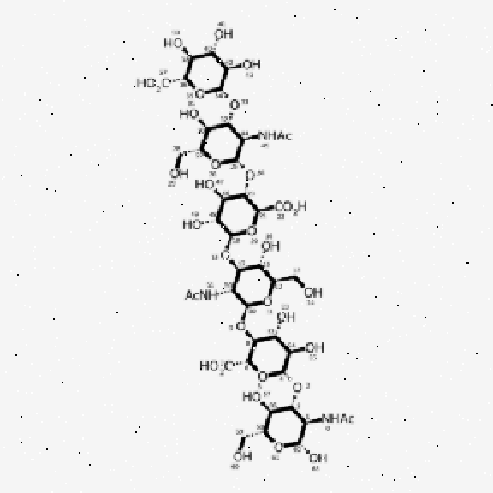 CC(=O)N[C@@H]1[C@@H](O[C@@H]2O[C@H](C(=O)O)[C@@H](O[C@@H]3O[C@H](CO)[C@@H](O)[C@H](O[C@@H]4O[C@H](C(=O)O)[C@@H](O[C@@H]5O[C@H](CO)[C@@H](O)[C@H](O[C@@H]6O[C@H](C(=O)O)[C@@H](O)[C@H](O)[C@H]6O)[C@H]5NC(C)=O)[C@H](O)[C@H]4O)[C@H]3NC(C)=O)[C@H](O)[C@H]2O)[C@H](O)[C@@H](CO)O[C@H]1O